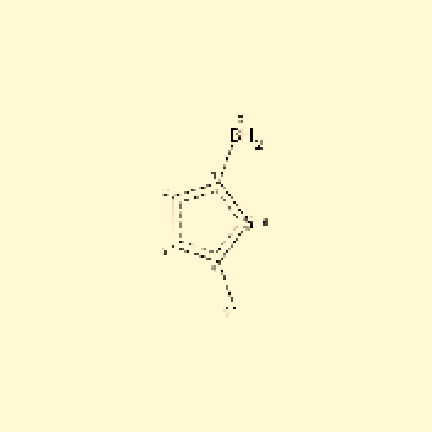 Bc1ccc(C)s1